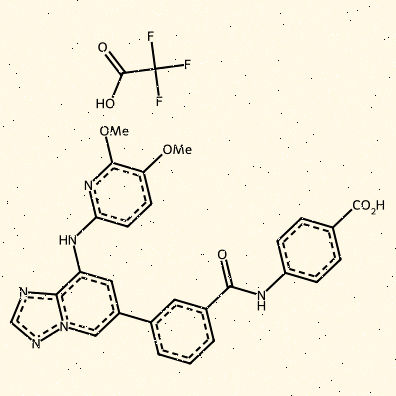 COc1ccc(Nc2cc(-c3cccc(C(=O)Nc4ccc(C(=O)O)cc4)c3)cn3ncnc23)nc1OC.O=C(O)C(F)(F)F